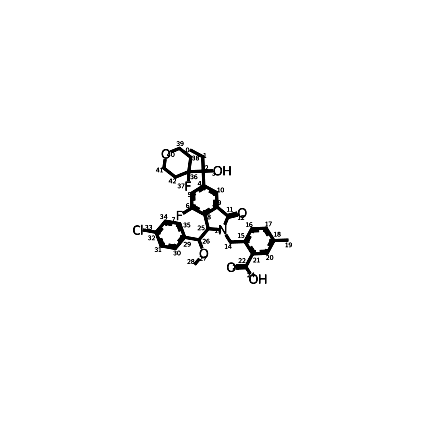 CCC(O)(c1cc(F)c2c(c1)C(=O)N(Cc1ccc(C)cc1C(=O)O)C2C(OC)c1ccc(Cl)cc1)C1(F)CCOCC1